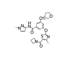 Cc1nc(Oc2cc(O[C@H]3CCOC3)cc(C(=O)Nc3ccn(C)n3)c2)sc1C(=O)N1CCC1